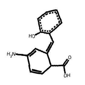 NC1=CC(=Cc2ccccc2O)C(C(=O)O)C=C1